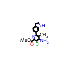 COC(=O)c1nc(-c2ccc3cc[nH]c3c2)c(C)c(N)c1Cl